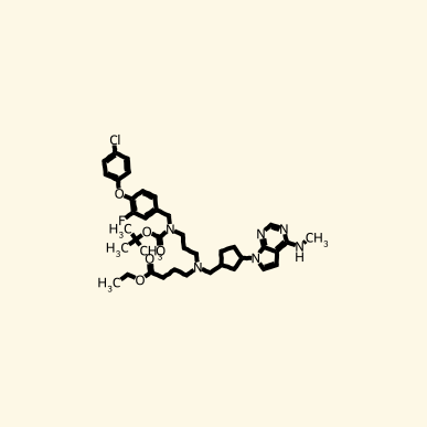 CCOC(=O)CCCN(CCCN(Cc1ccc(Oc2ccc(Cl)cc2)c(F)c1)C(=O)OC(C)(C)C)CC1CCC(n2ccc3c(NC)ncnc32)C1